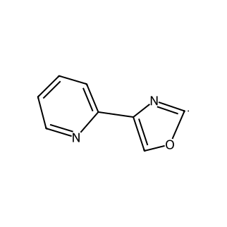 [c]1nc(-c2ccccn2)co1